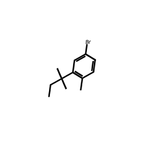 CCC(C)(C)c1cc(Br)ccc1C